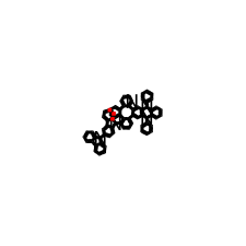 c1ccc(-n2c3ccccc3n(-c3ccccc3)c3cc4c(cc32)c2cccc(-n3c5ccccc5c5cc(-n6c7ccccc7c7ccccc76)ccc53)c2c2ccccc2c2cccnc24)cc1